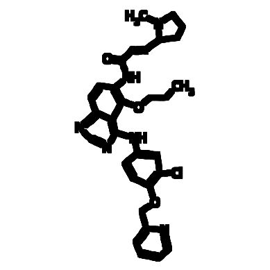 CCCOc1c(NC(=O)/C=C/C2CCCN2C)ccc2ncnc(Nc3ccc(OCc4ccccn4)c(Cl)c3)c12